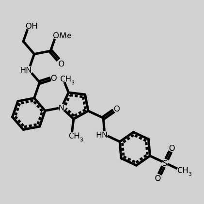 COC(=O)C(CO)NC(=O)c1ccccc1-n1c(C)cc(C(=O)Nc2ccc(S(C)(=O)=O)cc2)c1C